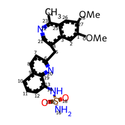 COc1cc2c(Cc3ccc4cccc(NS(N)(=O)=O)c4n3)cnc(C)c2cc1OC